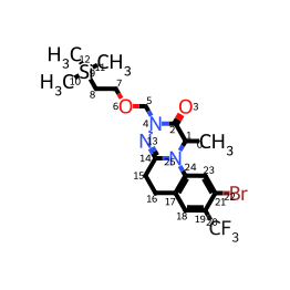 CC1C(=O)N(COCC[Si](C)(C)C)N=C2CCc3cc(C(F)(F)F)c(Br)cc3N21